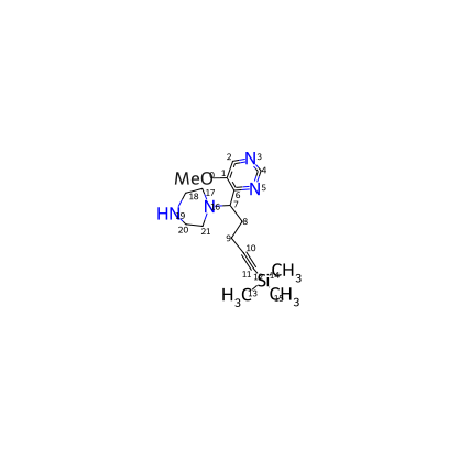 COc1cncnc1C(CCC#C[Si](C)(C)C)N1CCNCC1